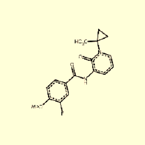 COc1ccc(C(=O)Nc2cccn(C3(C(=O)O)CC3)c2=O)cc1F